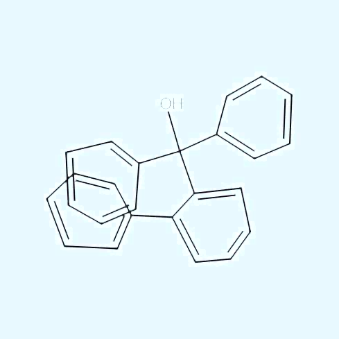 OC(c1ccccc1)(c1ccccc1)c1ccccc1-c1ccccc1